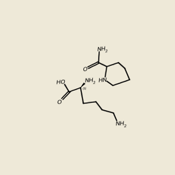 NC(=O)C1CCCCN1.NCCCC[C@H](N)C(=O)O